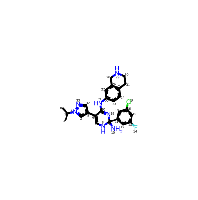 CC(C)n1cc(C2=CNC(N)(c3cc(F)cc(Cl)c3)N=C2Nc2ccc3c(c2)CNCC3)cn1